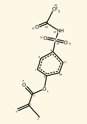 C=C(C)C(=O)Oc1ccc(S(=O)(=O)NC(=O)C(F)(F)F)cc1